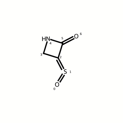 O=S=C1CNC1=O